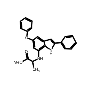 COC(=O)C(C)Nc1cc(Oc2ccccc2)cc2cc(-c3ccccc3)[nH]c12